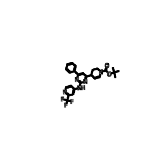 CC(C)(C)OC(=O)N1C=CC(c2cc(-c3ccccc3)nc(Nc3ccnc(C(F)(F)F)c3)n2)CC1